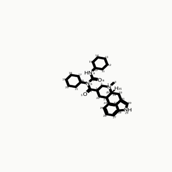 CN1CC(C(=O)N(C(=O)NC2CCCCC2)C2CCCCC2)CC2c3cccc4[nH]cc(c34)C[C@H]21